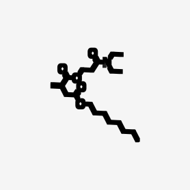 C=C(CC(=O)OCCCCCCCC)C(=O)OCCC(=O)N(CC)CC